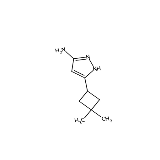 CC1(C)CC(c2cc(N)n[nH]2)C1